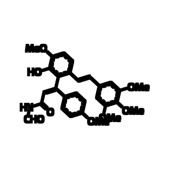 COc1ccc(/C(=C\C(=O)NC=O)c2c(/C=C/c3cc(OC)c(OC)c(OC)c3)ccc(OC)c2O)cc1